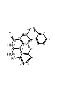 Cc1ccnc(C(C)C)c1N1c2nc(-c3ccccc3F)c(Cl)cc2C(=O)NC1O